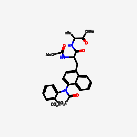 CCCC[C@H](NC(=O)C(Cc1ccc(N(C(=O)C(=O)O)c2ccccc2C(=O)O)c2ccccc12)NC(=O)OC)C(=O)OC